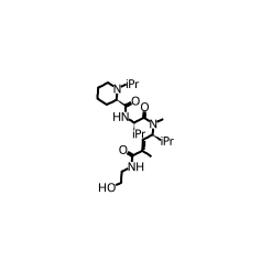 C/C(=C\[C@H](C(C)C)N(C)C(=O)[C@@H](NC(=O)[C@H]1CCCCN1C(C)C)C(C)C)C(=O)NCCO